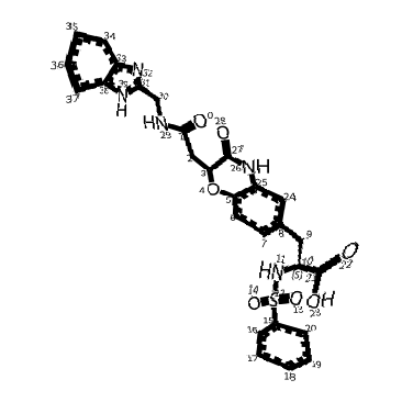 O=C(CC1Oc2ccc(C[C@H](NS(=O)(=O)c3ccccc3)C(=O)O)cc2NC1=O)NCc1nc2ccccc2[nH]1